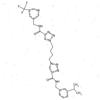 CC(C)c1cccc(CNC(=O)c2cn(CCCCn3cc(C(=O)NCc4cncc(C(F)(F)F)c4)nn3)nn2)c1